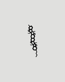 CCCCc1ccc2c(c1)sc1c3cc4cc5sc6c7ccc(C)cc7sc6c5cc4cc3sc21